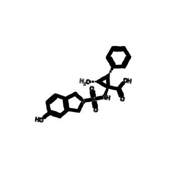 C[C@@H]1[C@H](c2ccccc2)[C@]1(NS(=O)(=O)N1Cc2ccc(O)cc2C1)C(=O)O